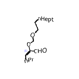 CCC/C=C(\C=O)OCOCCCCCCCCC